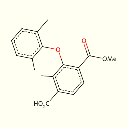 COC(=O)c1ccc(C(=O)O)c(C)c1Oc1c(C)cccc1C